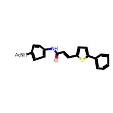 CC(=O)Nc1ccc(NC(=O)C=Cc2ccc(-c3ccccc3)s2)cc1